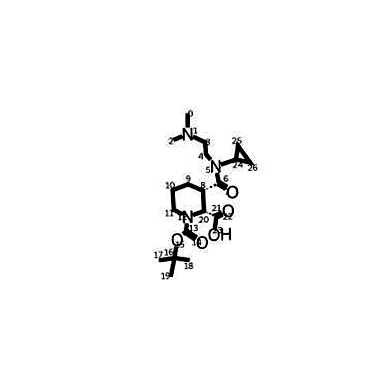 CN(C)CCN(C(=O)[C@H]1CCCN(C(=O)OC(C)(C)C)[C@H]1C(=O)O)C1CC1